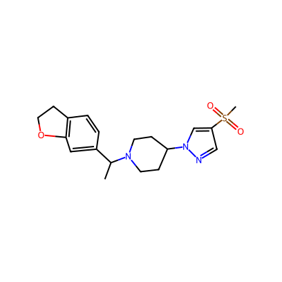 CC(c1ccc2c(c1)OCC2)N1CCC(n2cc(S(C)(=O)=O)cn2)CC1